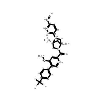 COc1cc(C(=O)N2C[C@]3(N)C[C@H]2CN3c2ccc(N=O)nn2)ncc1-c1ccc(C(F)(F)F)cc1